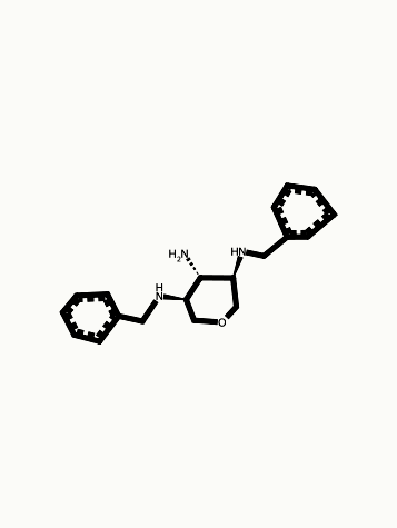 N[C@@H]1[C@@H](NCc2ccccc2)COC[C@H]1NCc1ccccc1